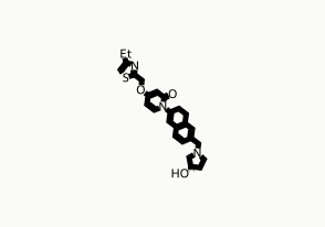 CCc1csc(COc2ccn(C3=Cc4ccc(CN5CC[C@@H](O)C5)cc4CC3)c(=O)c2)n1